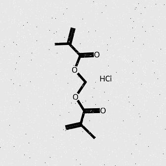 C=C(C)C(=O)OCOC(=O)C(=C)C.Cl